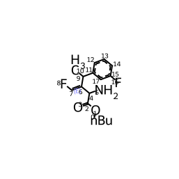 CCCCOC(=O)C(N)/C(=C/F)C(C)c1cccc(F)c1